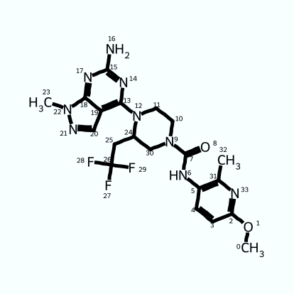 COc1ccc(NC(=O)N2CCN(c3nc(N)nc4c3cnn4C)C(CC(F)(F)F)C2)c(C)n1